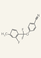 Cc1ccc(C(F)(F)Oc2ccc(C#N)cc2)c(F)c1